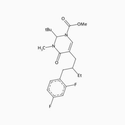 CCC(CC1=CN(C(=O)OC)C(C(C)(C)C)N(C)C1=O)Cc1ccc(F)cc1F